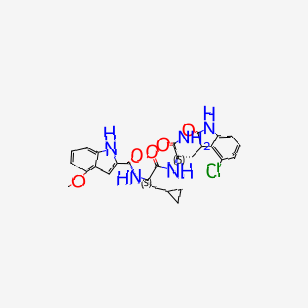 COc1cccc2[nH]c(C(=O)N[C@@H](CC3CC3)C(=O)N[C@@H](CC3C(=O)Nc4cccc(Cl)c43)C(N)=O)cc12